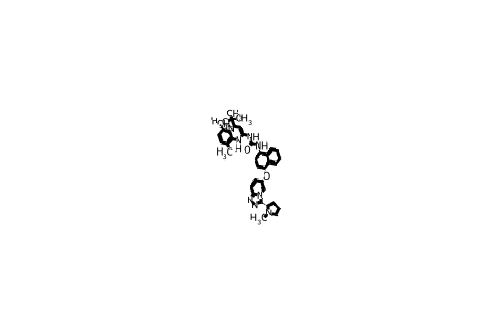 Cc1ccc(C)c(N/C(=C\C(=N)C(C)(C)C)NC(=O)N[C@H]2CC[C@@H](Oc3ccc4nnc([C@@H]5CCCN5C)n4c3)c3ccccc32)c1